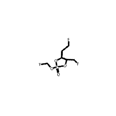 O=P1(OCF)OC(CF)C(CCF)O1